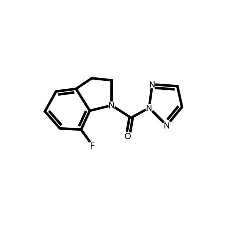 O=C(N1CCc2cccc(F)c21)n1nccn1